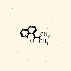 CC(C)C(=O)c1cccc2cccnc12